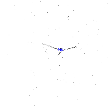 CCCCCCCCCCCCCN1C=CN(CCCCCCCCCCCC)C1CCCCC